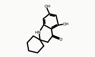 O=C1CC2(CCCCC2)Nc2cc(O)cc(O)c21